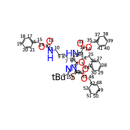 CC(C)(C)C1=NN(C(=O)[C@H](CCCCNC(=O)OCc2ccccc2)N[C@@H](CCc2ccccc2)C(=O)OCc2ccccc2)[C@@H](C(=O)OCc2ccccc2)S1